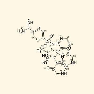 CCC(NS(=O)(=O)c1ccc(C(=N)N)cc1)C(c1cccnc1)(C(C(=O)O)N1CCNCC1=O)N1CCNCC1=O